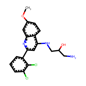 COc1ccc2c(NCC(O)CN)cc(-c3cccc(Cl)c3Cl)nc2c1